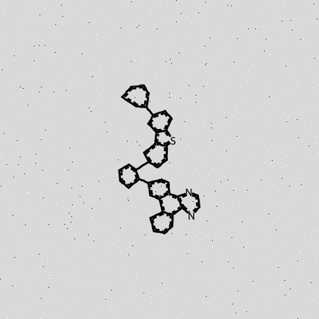 c1ccc(-c2ccc3sc4ccc(-c5ccccc5-c5ccc6c(c5)c5ccccc5c5nccnc65)cc4c3c2)cc1